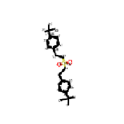 CC(C)(C)c1ccc(CCS(=O)(=O)CCc2ccc(C(C)(C)C)cc2)cc1